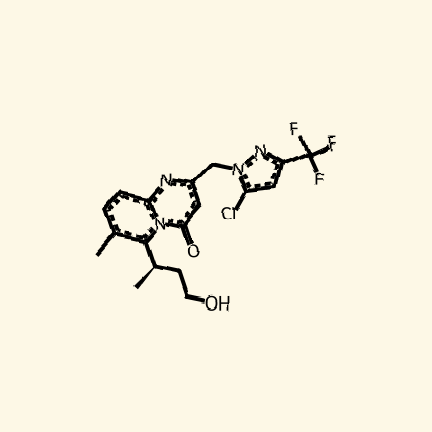 Cc1ccc2nc(Cn3nc(C(F)(F)F)cc3Cl)cc(=O)n2c1[C@H](C)CCO